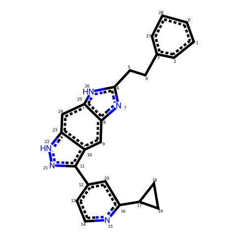 c1ccc(CCc2nc3cc4c(-c5ccnc(C6CC6)c5)n[nH]c4cc3[nH]2)cc1